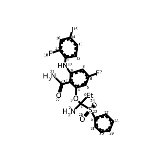 CCC(N)(Oc1cc(F)cc(Nc2ccc(I)cc2F)c1C(N)=O)S(=O)(=O)c1ccccc1